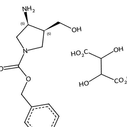 N[C@@H]1CN(C(=O)OCc2ccccc2)C[C@@H]1CO.O=C(O)C(O)C(O)C(=O)O